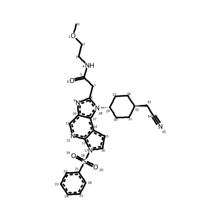 COCCNC(=O)Cc1nc2cnc3c(ccn3S(=O)(=O)c3ccccc3)c2n1[C@H]1CC[C@H](CC#N)CC1